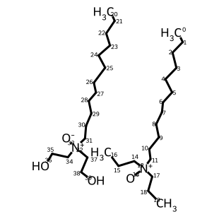 CCCCCCCCCCCC[N+]([O-])(CCC)CCC.CCCCCCCCCCCC[N+]([O-])(CCO)CCO